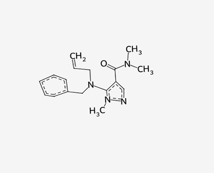 C=CCN(Cc1ccccc1)c1c(C(=O)N(C)C)cnn1C